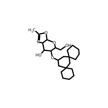 CC1=NC2C(O1)OC(CO)C(OC1CC3(CCCCC3)CC3(CCCCC3)C1)C2O